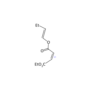 CCC=COC(=O)/C=C\C(=O)OCC